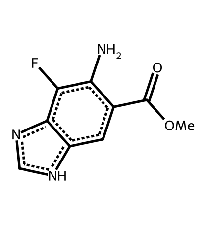 COC(=O)c1cc2[nH]cnc2c(F)c1N